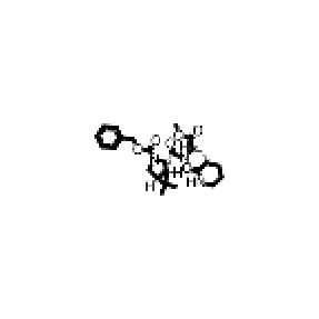 COC(=O)[C@H](C[C@@H]1CCCNC1=O)NC(=O)[C@@H]1[C@@H]2[C@H](CN1C(=O)OCc1ccccc1)C2(C)C